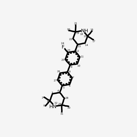 CC1(C)CC(c2ccc(-c3ccc(C4CC(C)(C)NC(C)(C)C4)c(F)c3)cc2)CC(C)(C)N1